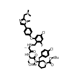 COC[C@H](NC(=O)[C@H](C)NCc1c(F)cc(Cl)cc1Oc1ccc(-c2cnc(CN(C)C)n2C)cc1)C(=O)N(C)[C@@]1(Cc2ccc(Cl)cc2)CCCN(C(=O)OC(C)(C)C)C1